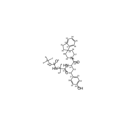 CC(C)(C)OC(=O)NC(C)(C)C(=O)NC(CCc1ccc(O)cc1)C(=O)N1CCC2(CCc3ccccc32)CC1